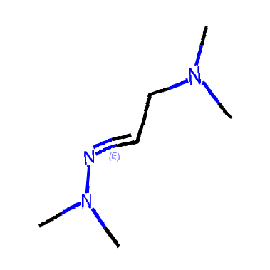 CN(C)C/C=N/N(C)C